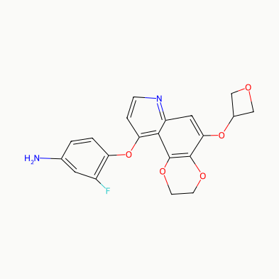 Nc1ccc(Oc2ccnc3cc(OC4COC4)c4c(c23)OCCO4)c(F)c1